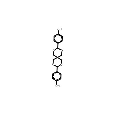 Oc1ccc(C2OCC3(CO2)COC(c2ccc(O)cc2)OC3)cc1